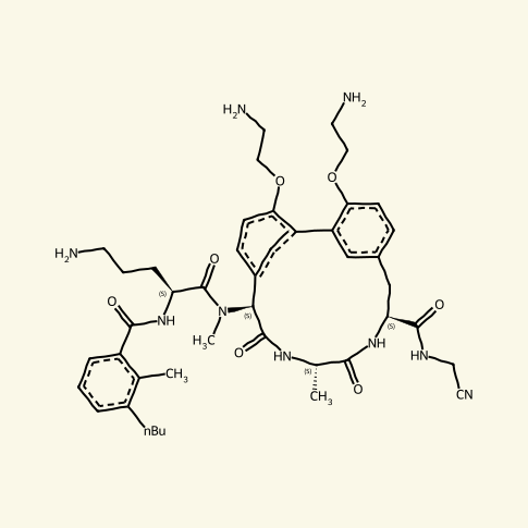 CCCCc1cccc(C(=O)N[C@@H](CCCN)C(=O)N(C)[C@@H]2C(=O)N[C@@H](C)C(=O)N[C@H](C(=O)NCC#N)Cc3ccc(OCCN)c(c3)-c3cc2ccc3OCCN)c1C